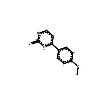 COc1ccc(-c2cc[nH]c(=O)n2)cc1